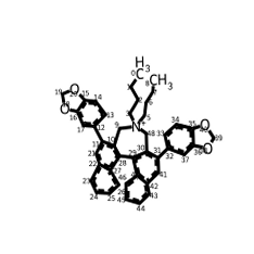 CCCC[N+]1(CCCC)Cc2c(-c3ccc4c(c3)OCO4)cc3ccccc3c2-c2c(c(-c3ccc4c(c3)OCO4)cc3ccccc23)C1